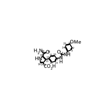 COc1ccc(NC(=O)Nc2ccc(-c3c(C(=O)O)c[nH]c3C(N)=O)cc2)cc1